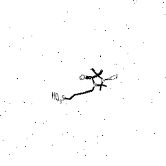 CC1(C)C(=O)N(CCCS(=O)(=O)O)C(C)(C)N1Cl